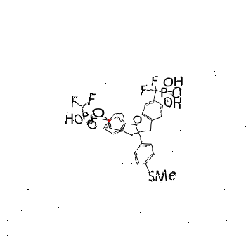 CSc1ccc(C(Cc2ccc(OP(=O)(O)C(F)F)cc2)(Cc2ccc(C(F)(F)P(=O)(O)O)cc2)C(=O)c2ccc(F)cc2)cc1